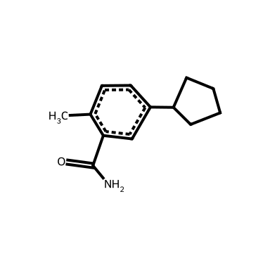 Cc1ccc(C2CCCC2)cc1C(N)=O